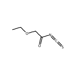 CCOCC(=O)N=C=S